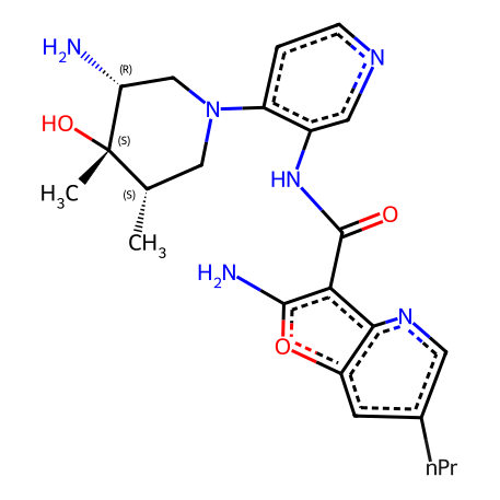 CCCc1cnc2c(C(=O)Nc3cnccc3N3C[C@@H](N)[C@@](C)(O)[C@@H](C)C3)c(N)oc2c1